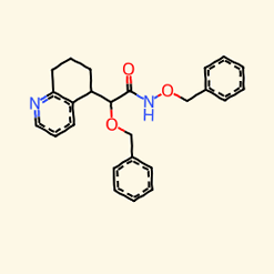 O=C(NOCc1ccccc1)C(OCc1ccccc1)C1CCCc2ncccc21